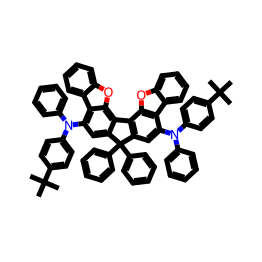 CC(C)(C)c1ccc(N(c2ccccc2)c2cc3c(c4oc5ccccc5c24)-c2c(cc(N(c4ccccc4)c4ccc(C(C)(C)C)cc4)c4c2oc2ccccc24)C3(c2ccccc2)c2ccccc2)cc1